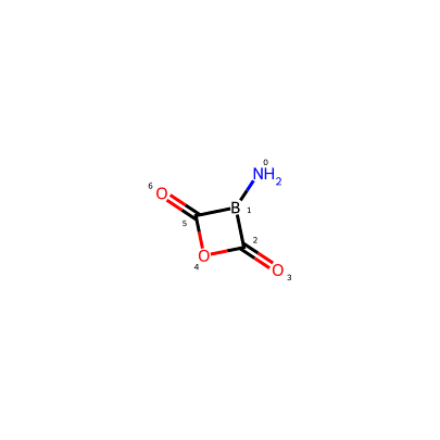 NB1C(=O)OC1=O